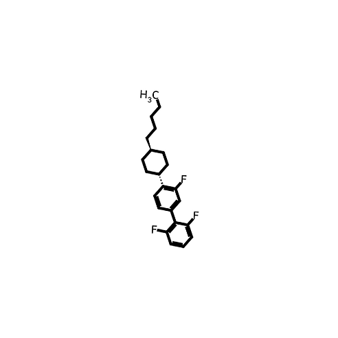 CCCCC[C@H]1CC[C@H](c2ccc(-c3c(F)cccc3F)cc2F)CC1